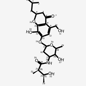 CC(C)CC1CC(=O)c2c(CO)cc(OC3CC(NC(=O)[C@H](C)[C@H](C)O)C(O)C(C)O3)c(O)c2O1